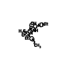 CC=CN1CCC(N2c3nc(Nc4cc(N5CCN(CC)CC5)ccc4OCCO)ncc3N(C)C(=O)[C@H]2CC)CC1